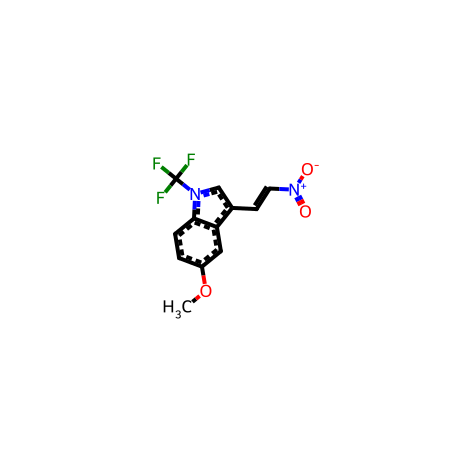 COc1ccc2c(c1)c(/C=C/[N+](=O)[O-])cn2C(F)(F)F